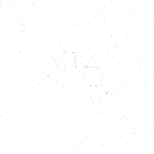 COC1(c2ccc(Cl)c(C(F)(F)F)c2)CCN(C(=O)O)CC1